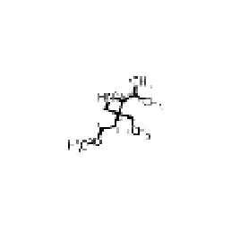 CCC1(CCOC)CNC1C(C)C